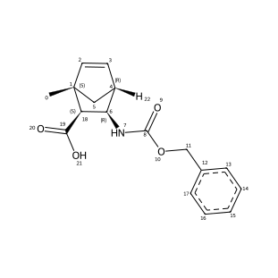 C[C@@]12C=C[C@@H](C1)[C@@H](NC(=O)OCc1ccccc1)[C@H]2C(=O)O